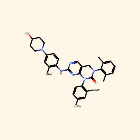 COc1ccc(N2C(=O)N(c3c(C)cccc3C)Cc3cnc(Nc4ccc(N5CCC(O)CC5)cc4OC)nc32)c(OC)c1